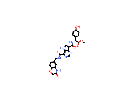 COC(=O)[C@H](NC(=O)c1c[nH]c2c(C(=O)NCc3ccc4c(c3)NC(=O)CO4)ncnc12)c1ccc(O)cc1